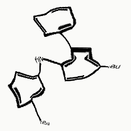 CCCCc1cccc(Nc2ccc(CCCC)cc2-c2ccccc2)c1